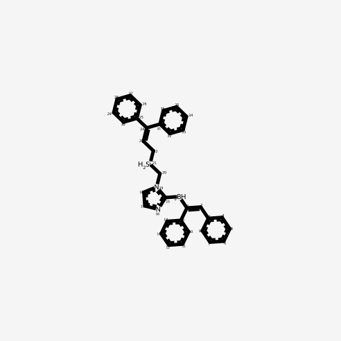 B(C(=Cc1ccccc1)c1ccccc1)c1nccn1C[SiH2]CC=C(c1ccccc1)c1ccccc1